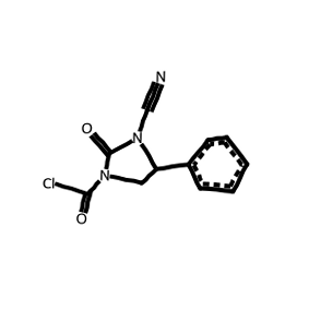 N#CN1C(=O)N(C(=O)Cl)CC1c1ccccc1